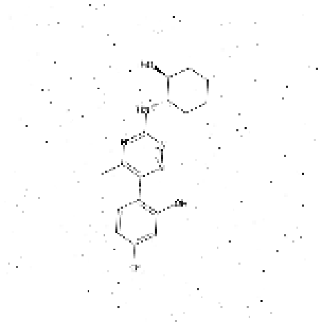 Cc1nc(N[C@H]2CCCC[C@@H]2O)nnc1-c1ccc(C(F)(F)F)cc1O